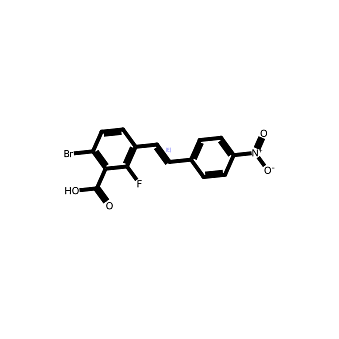 O=C(O)c1c(Br)ccc(/C=C/c2ccc([N+](=O)[O-])cc2)c1F